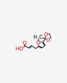 CC1(c2ccc(C/C=C/C(=O)O)o2)OCCO1